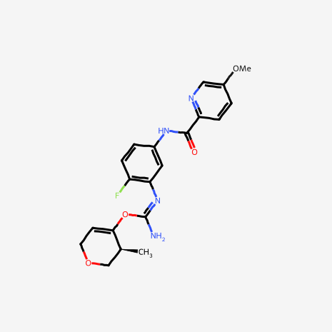 COc1ccc(C(=O)Nc2ccc(F)c(/N=C(/N)OC3=CCOC[C@@H]3C)c2)nc1